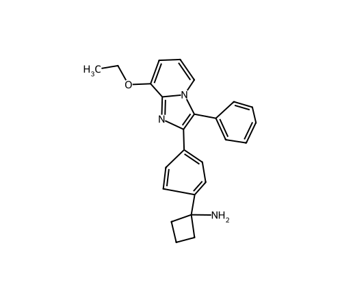 CCOc1cccn2c(-c3ccccc3)c(-c3ccc(C4(N)CCC4)cc3)nc12